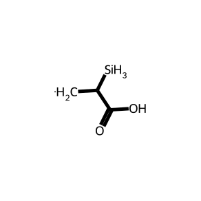 [CH2]C([SiH3])C(=O)O